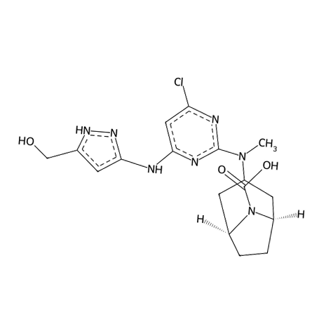 CN(c1nc(Cl)cc(Nc2cc(CO)[nH]n2)n1)C1C[C@H]2CC[C@@H](C1)N2C(=O)O